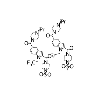 CC(C)N1CCN(C(=O)c2ccc3c(c2)cc(C(=O)N2CCN(S(C)(=O)=O)CC2)n3CC(F)(F)F)CC1.CC(C)N1CCN(C(=O)c2ccc3c(c2)cc(C(=O)N2CCN(S(C)(=O)=O)CC2)n3CC2CC2)CC1